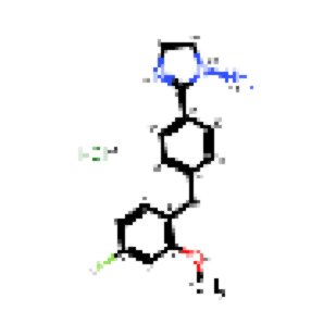 COc1cc(F)ccc1Cc1ccc(C2=NCCN2N)cc1.Cl